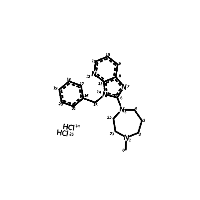 CN1CCCN(c2nc3cccnc3n2Cc2ccccc2)CC1.Cl.Cl